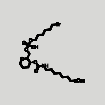 CCCCCCCCCCCCCCCCCNC(=O)O[C@@H]1CCCO[C@H]1COP(=O)(O)OCCCCCCBr